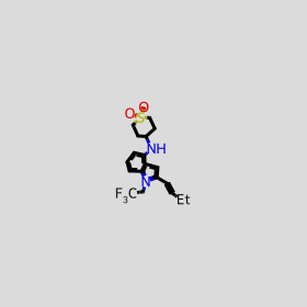 CCC#Cc1cc2c(NC3CCS(=O)(=O)CC3)cccc2n1CC(F)(F)F